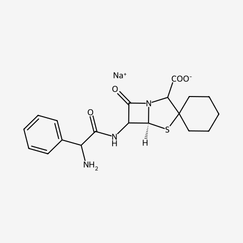 NC(C(=O)NC1C(=O)N2C(C(=O)[O-])C3(CCCCC3)S[C@@H]12)c1ccccc1.[Na+]